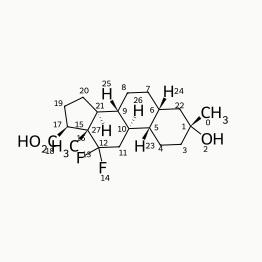 C[C@@]1(O)CC[C@H]2[C@H](CC[C@@H]3[C@@H]2CC(F)(F)[C@]2(C)[C@@H](C(=O)O)CC[C@@H]32)C1